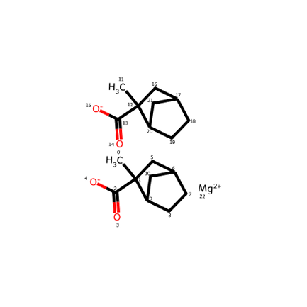 CC1(C(=O)[O-])CC2CCC1C2.CC1(C(=O)[O-])CC2CCC1C2.[Mg+2]